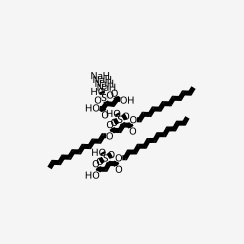 CCCCCCCCCCCCCCOC(=O)C(CC(=O)O)S(=O)(=O)O.CCCCCCCCCCCCOC(=O)CC(C(=O)OCCCCCCCCCCCC)S(=O)(=O)O.O=C(O)CC(C(=O)O)S(=O)(=O)O.[NaH].[NaH].[NaH].[NaH]